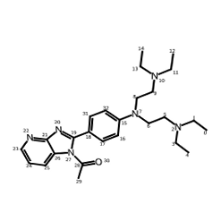 CCN(CC)CCN(CCN(CC)CC)c1ccc(-c2nc3ncccc3n2C(C)=O)cc1